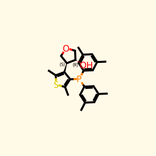 Cc1cc(C)cc(P(c2cc(C)cc(C)c2)c2c(C)sc(C)c2[C@H]2COC[C@@H]2O)c1